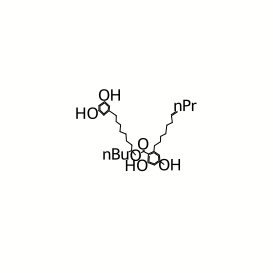 CCC/C=C/CCCCCCc1cc(O)cc(O)c1C(=O)OC(CCCC)CCCCCCCc1cc(O)cc(O)c1